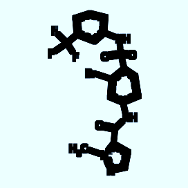 Cn1nccc1C(=O)Nc1ccc(S(=O)(=O)Nc2cccc(C(F)(F)F)c2)c(Br)c1